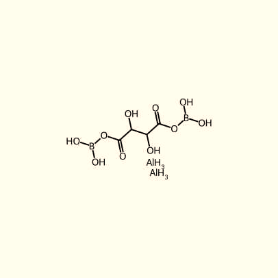 O=C(OB(O)O)C(O)C(O)C(=O)OB(O)O.[AlH3].[AlH3]